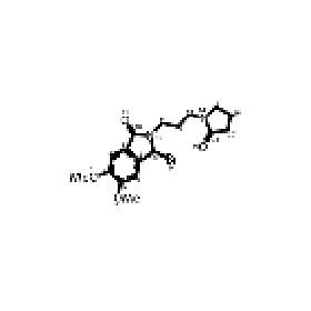 COc1cc2c(cc1OC)C(Br)N(CCCN1CCCC1=O)C2=O